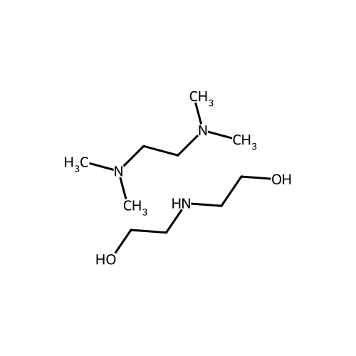 CN(C)CCN(C)C.OCCNCCO